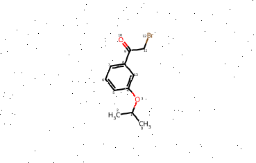 CC(C)Oc1cccc(C(=O)CBr)c1